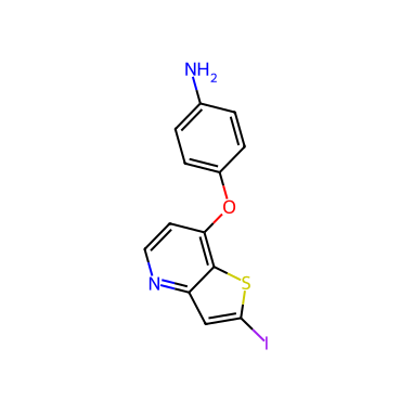 Nc1ccc(Oc2ccnc3cc(I)sc23)cc1